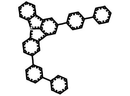 c1ccc(-c2ccc(-c3cc4c5ccccc5n5c6ccc(-c7cccc(-c8ccccc8)c7)cc6c(c3)c45)cc2)cc1